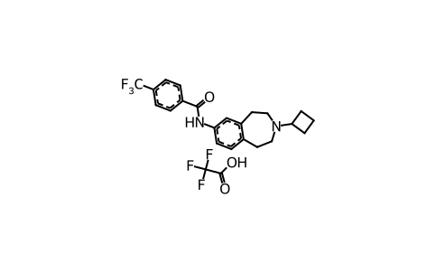 O=C(Nc1ccc2c(c1)CCN(C1CCC1)CC2)c1ccc(C(F)(F)F)cc1.O=C(O)C(F)(F)F